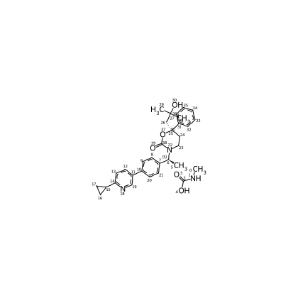 CNC(=O)O.C[C@@H](c1ccc(-c2ccc(C3CC3)nc2)cc1)N1CC[C@](CC(C)(C)O)(c2ccccc2)OC1=O